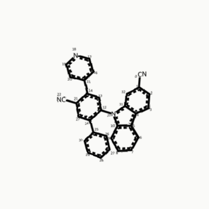 N#Cc1ccc2c3ccccc3n(-c3cc(-c4ccncc4)c(C#N)cc3-c3ccccc3)c2c1